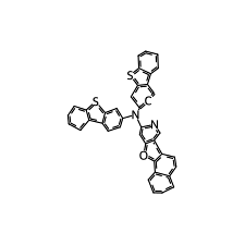 c1ccc2c(c1)ccc1c3cnc(N(c4ccc5c(c4)sc4ccccc45)c4ccc5c(c4)sc4ccccc45)cc3oc21